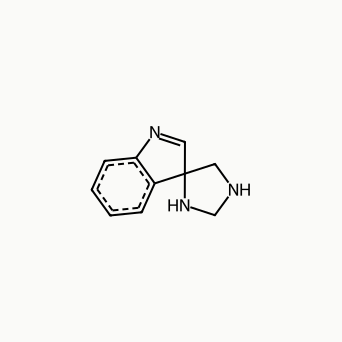 C1=Nc2ccccc2C12CNCN2